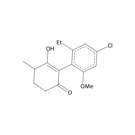 CCc1cc(Cl)cc(OC)c1C1=C(O)C(C)CCC1=O